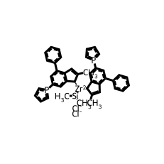 CC1=Cc2c(-c3ccccc3)cc(-p3cccc3)cc2[C@@H]1[Zr+2]([C@H]1C(C)=Cc2c(-c3ccccc3)cc(-p3cccc3)cc21)=[Si](C)C.[Cl-].[Cl-]